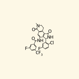 CN1CCc2c(cc(NC(=O)c3cc(F)cc(C(F)(F)F)c3)c3c2C(=O)NC3c2cc(F)ccc2Cl)C1=O